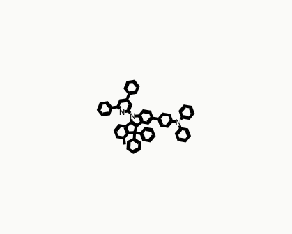 CC1CC=CC2=C1C(c1ccccc1)(c1ccccc1)c1c2n(-c2cc(-c3ccccc3)cc(-c3ccccc3)n2)c2ccc(C3=CC=C(N(c4ccccc4)c4ccccc4)CC3)cc12